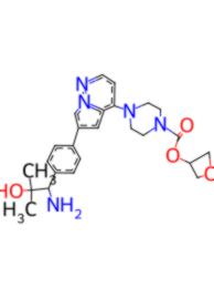 CC(C)(O)C(N)c1ccc(-c2cc3c(N4CCN(C(=O)OC5COC5)CC4)ccnn3c2)cc1